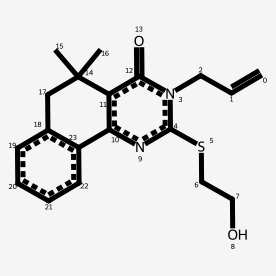 C=CCn1c(SCCO)nc2c(c1=O)C(C)(C)Cc1ccccc1-2